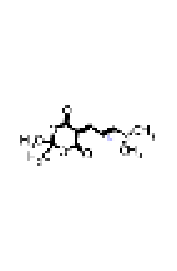 CN(C)/C=C/C=C1C(=O)OC(C)(C)OC1=O